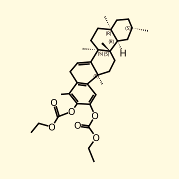 CCOC(=O)Oc1cc2c(c(C)c1OC(=O)OCC)CC=C1[C@@]2(C)CC[C@@]2(C)[C@@H]3C[C@@H](C)CC[C@]3(C)CC[C@]12C